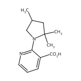 CC1CN(c2ncccc2C(=O)O)C(C)(C)C1